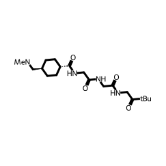 CNC[C@H]1CC[C@H](C(=O)NCC(=O)NCC(=O)NCC(=O)C(C)(C)C)CC1